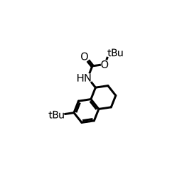 CC(C)(C)OC(=O)NC1CCCc2ccc(C(C)(C)C)cc21